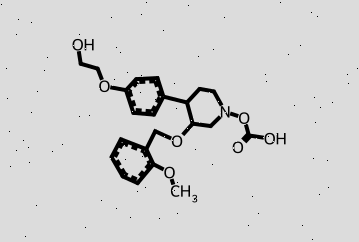 COc1ccccc1COC1CN(OC(=O)O)CCC1c1ccc(OCCO)cc1